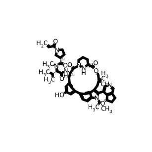 C=CC(=O)N1CC[C@H](C(=O)N(C)[C@H](C(=O)N[C@H]2Cc3cc(O)cc(c3)-c3ccc4c(c3)c(c(-c3cncc5c3[C@@H](OC)CC5)n4CC)CC(C)(C)COC(=O)[C@@H]3CCCN(N3)C2=O)C(C)C)C1